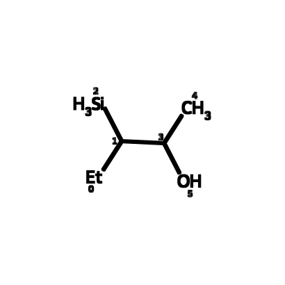 CCC([SiH3])C(C)O